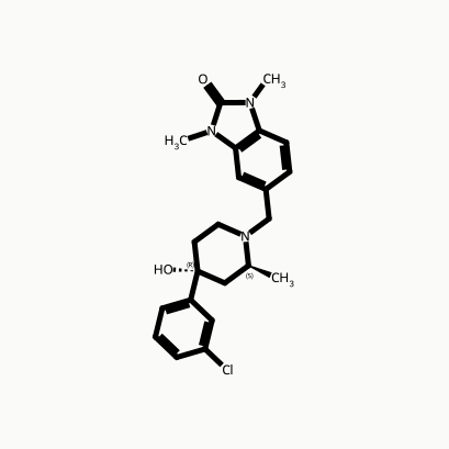 C[C@H]1C[C@@](O)(c2cccc(Cl)c2)CCN1Cc1ccc2c(c1)n(C)c(=O)n2C